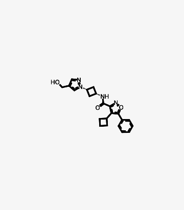 O=C(N[C@H]1C[C@@H](n2cc(CO)cn2)C1)c1noc(-c2ccccc2)c1C1CCC1